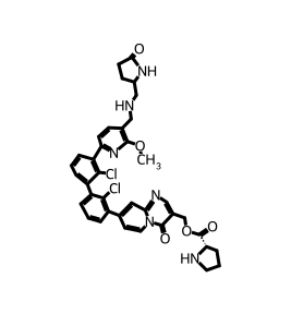 COc1nc(-c2cccc(-c3cccc(-c4ccn5c(=O)c(COC(=O)[C@@H]6CCCN6)cnc5c4)c3Cl)c2Cl)ccc1CNCC1CCC(=O)N1